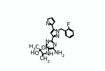 C=C(Nc1cnc(-c2cc(C3=NCC=C3)n(Cc3ccccc3F)n2)nc1N)C(C)(O)O